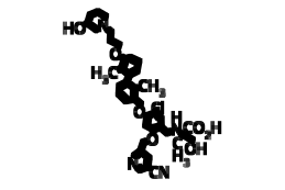 Cc1c(COc2cc(OCc3cncc(C#N)c3)c(CN[C@@](C)(CO)C(=O)O)cc2Cl)cccc1-c1cccc(OCCCN2CCCC(O)C2)c1C